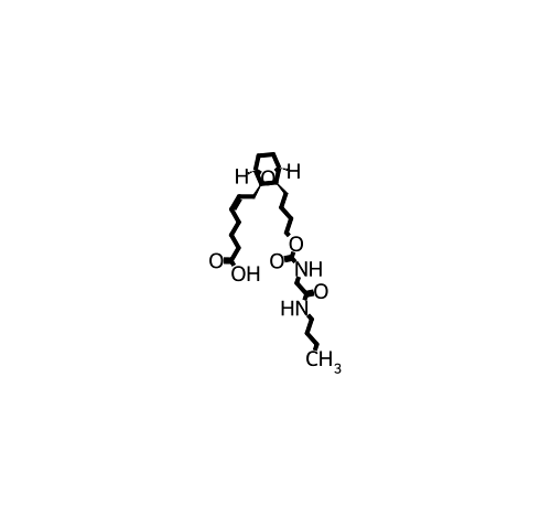 CCCCNC(=O)CNC(=O)OCCCC[C@H]1[C@@H](C/C=C\CCCC(=O)O)[C@H]2CC[C@@H]1O2